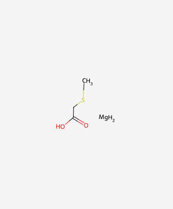 CSCC(=O)O.[MgH2]